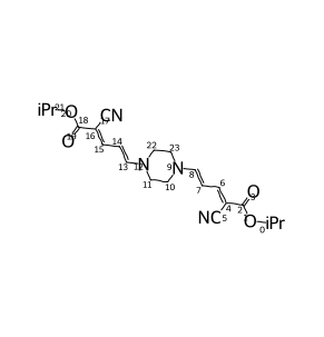 CC(C)OC(=O)/C(C#N)=C/C=C/N1CCN(/C=C/C=C(\C#N)C(=O)OC(C)C)CC1